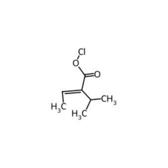 C/C=C(/C(=O)OCl)C(C)C